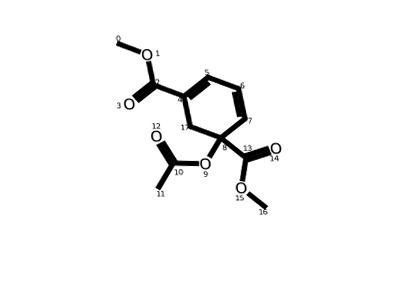 COC(=O)C1=CC=CC(OC(C)=O)(C(=O)OC)C1